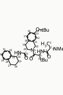 CN[C@@H](C)C(=O)N[C@H](C(=O)N1Cc2cc(OC(C)(C)C)ccc2C[C@H]1C(=O)N[C@@H]1CCCc2ccccc21)C(C)(C)C